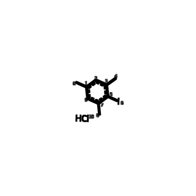 Cc1cc(C)c(I)c(C)c1.Cl